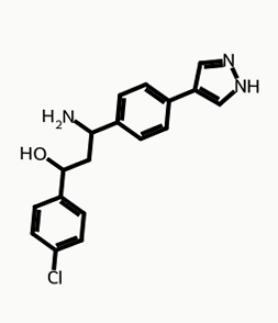 NC(CC(O)c1ccc(Cl)cc1)c1ccc(-c2cn[nH]c2)cc1